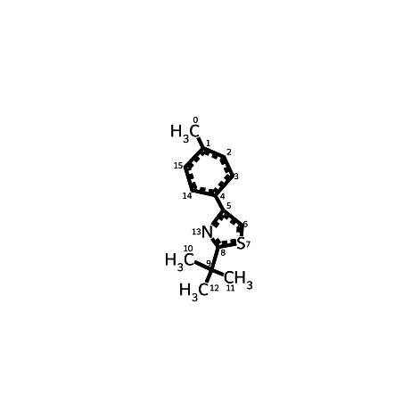 Cc1ccc(-c2csc(C(C)(C)C)n2)cc1